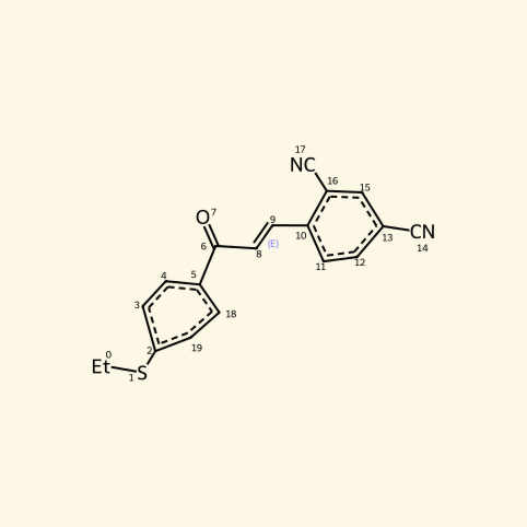 CCSc1ccc(C(=O)/C=C/c2ccc(C#N)cc2C#N)cc1